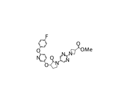 COC(=O)C1CN(c2ncc(N3CCC(Oc4ccc(Oc5ccc(F)cc5)nc4)C3=O)cn2)C1